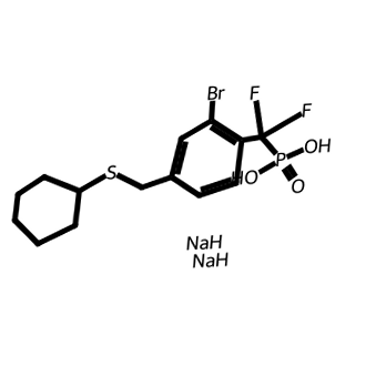 O=P(O)(O)C(F)(F)c1ccc(CSC2CCCCC2)cc1Br.[NaH].[NaH]